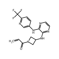 C=CC(=O)N1CC(Nc2nccnc2Nc2ccc(C(F)(F)F)nc2)C1